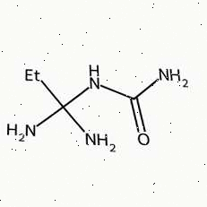 CCC(N)(N)NC(N)=O